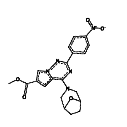 COC(=O)c1cc2c(N3CC4CCC(C3)O4)nc(-c3ccc([N+](=O)[O-])cc3)nn2c1